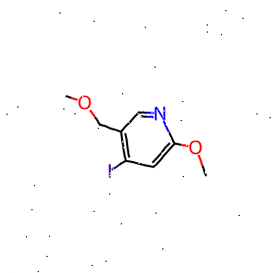 COCc1cnc(OC)cc1I